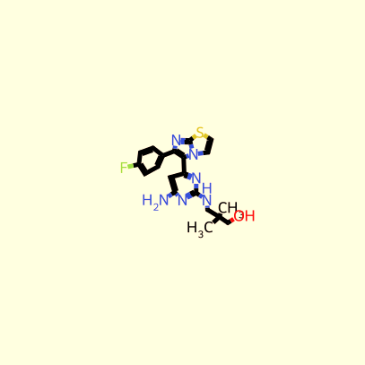 CC(C)(CO)CNc1nc(N)cc(-c2c(-c3ccc(F)cc3)nc3sccn23)n1